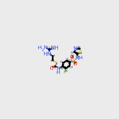 N=C(N)NCCSC(=O)Nc1ccc(S(=O)(=O)Nc2cncs2)cc1F